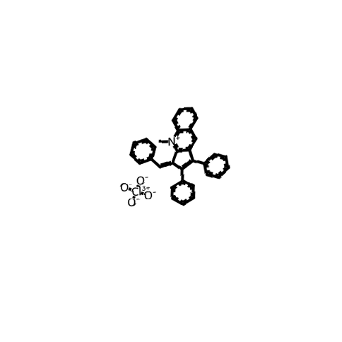 C[n+]1c2c(cc3ccccc31)C(c1ccccc1)=C(c1ccccc1)C2=Cc1ccccc1.[O-][Cl+3]([O-])([O-])[O-]